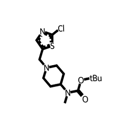 CN(C(=O)OC(C)(C)C)C1CCN(Cc2cnc(Cl)s2)CC1